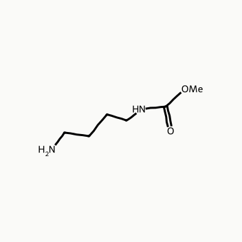 COC(=O)NCCCCN